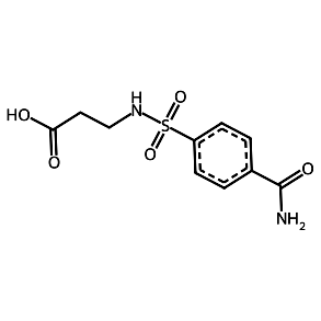 NC(=O)c1ccc(S(=O)(=O)NCCC(=O)O)cc1